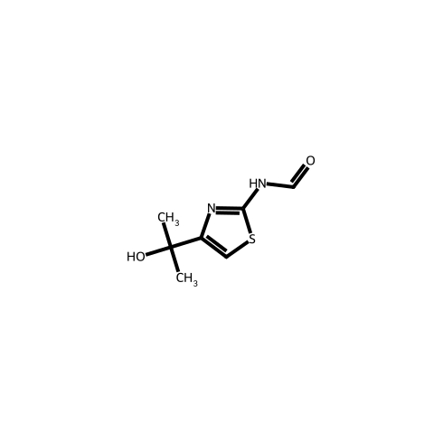 CC(C)(O)c1csc(NC=O)n1